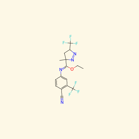 CCOC(=Nc1ccc(C#N)c(C(F)(F)F)c1)C1(C)CC(C(F)(F)F)N=N1